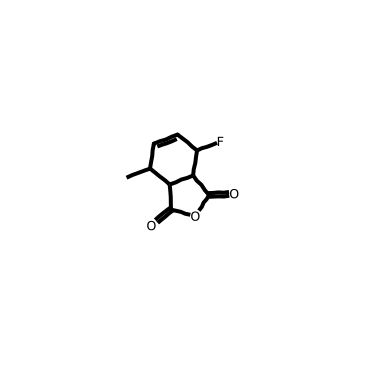 CC1C=CC(F)C2C(=O)OC(=O)C12